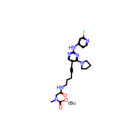 CN(CC(=O)NCCCC#Cc1cnc(Nc2ccnc(F)c2)nc1N1CCCC1)C(=O)OC(C)(C)C